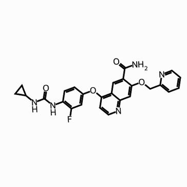 NC(=O)c1cc2c(Oc3ccc(NC(=O)NC4CC4)c(F)c3)ccnc2cc1OCc1ccccn1